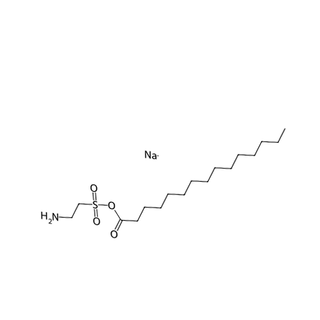 CCCCCCCCCCCCCCC(=O)OS(=O)(=O)CCN.[Na]